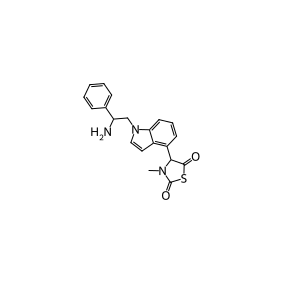 CN1C(=O)SC(=O)C1c1cccc2c1ccn2CC(N)c1ccccc1